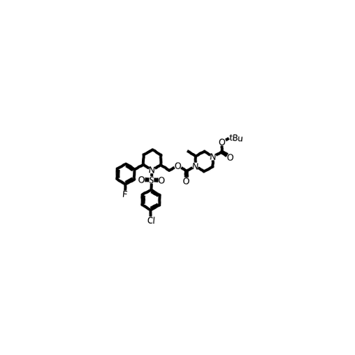 CC1CN(C(=O)OC(C)(C)C)CCN1C(=O)OCC1CCCC(c2cccc(F)c2)N1S(=O)(=O)c1ccc(Cl)cc1